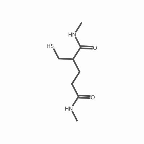 CNC(=O)CCC(CS)C(=O)NC